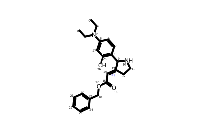 CCN(CC)c1ccc(C2NCC/C2=C\C(=O)OCc2ccccc2)c(O)c1